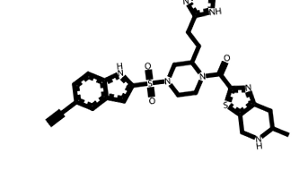 C#Cc1ccc2[nH]c(S(=O)(=O)N3CCN(C(=O)c4nc5c(s4)CNC(C)C5)C(CCc4nnn[nH]4)C3)cc2c1